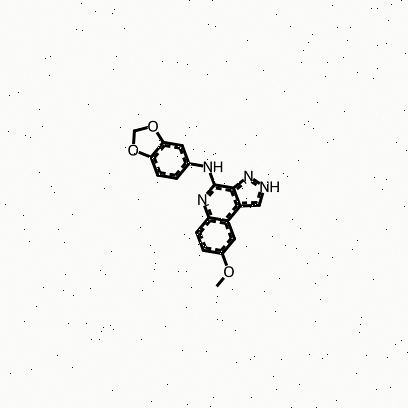 COc1ccc2nc(Nc3ccc4c(c3)OCO4)c3n[nH]cc3c2c1